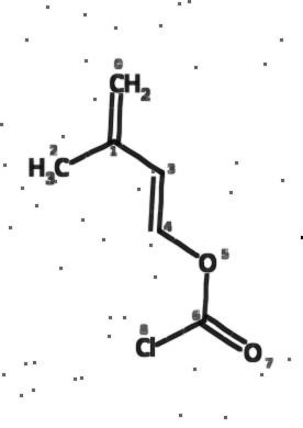 C=C(C)C=COC(=O)Cl